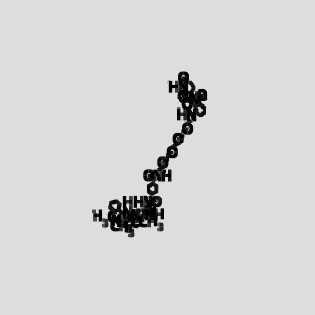 CN(C)C[C@@H](NC(=O)N1Cc2c(NC(=O)c3ccc(C(=O)NCCOCCOCCOCCOCCNc4cccc5c4C(=O)N(C4CCC(=O)NC4=O)C5=O)cc3)n[nH]c2C1(C)C)c1ccccc1